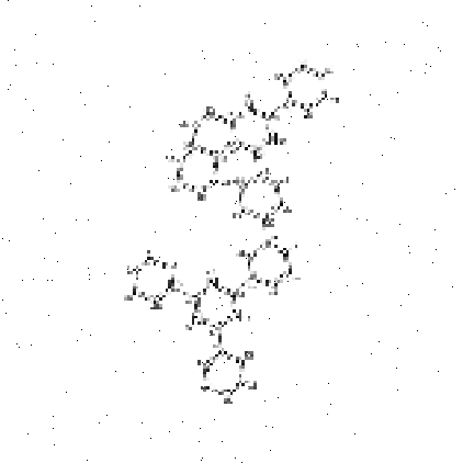 c1ccc(-c2nc(-c3ccccc3)nc(-c3cccc(-c4ccc(-c5nc(-c6ccccc6)nc6ccc7ccccc7c56)cc4)c3)n2)cc1